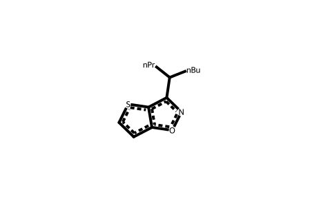 CCCCC(CCC)c1noc2ccsc12